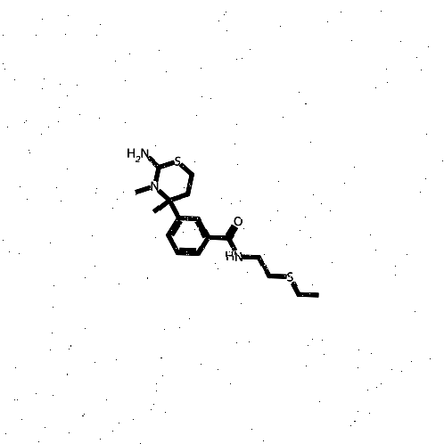 CCSCCNC(=O)c1cccc(C2(C)CCSC(N)N2C)c1